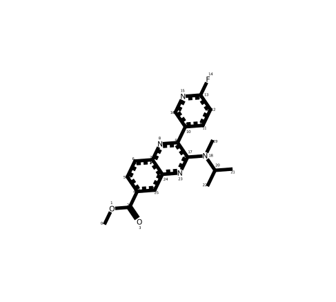 COC(=O)c1ccc2nc(-c3ccc(F)nc3)c(N(C)C(C)C)nc2c1